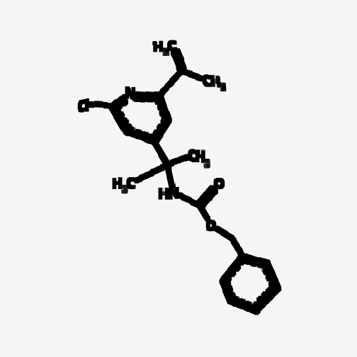 C=C(C)c1cc(C(C)(C)NC(=O)OCc2ccccc2)cc(Cl)n1